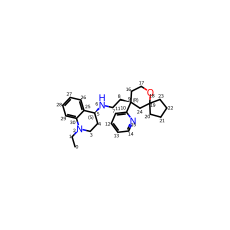 CCN1CC[C@H](NCC[C@@]2(c3ccccn3)CCOC3(CCCC3)C2)c2ccccc21